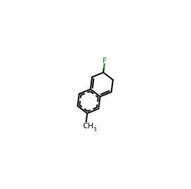 Cc1ccc2c(c1)=CCC(F)C=2